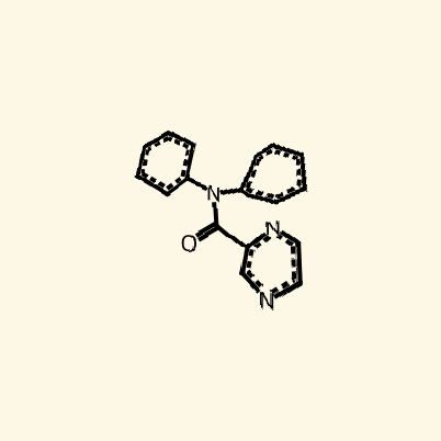 O=C(c1cnccn1)N(c1ccccc1)c1ccccc1